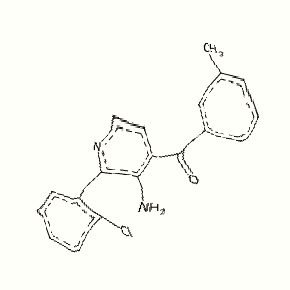 Cc1cccc(C(=O)c2ccnc(-c3ccccc3Cl)c2N)c1